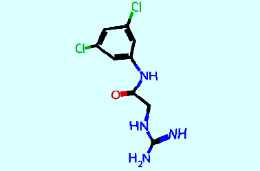 N=C(N)NCC(=O)Nc1cc(Cl)cc(Cl)c1